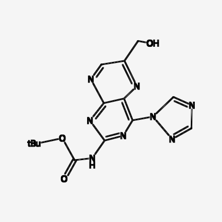 CC(C)(C)OC(=O)Nc1nc(-n2cncn2)c2nc(CO)cnc2n1